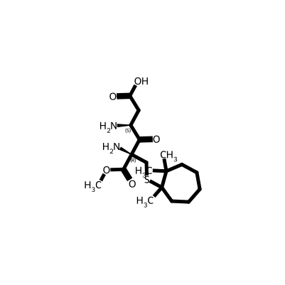 COC(=O)[C@@](N)(CSC1(C)CCCCCC1(C)C)C(=O)[C@@H](N)CC(=O)O